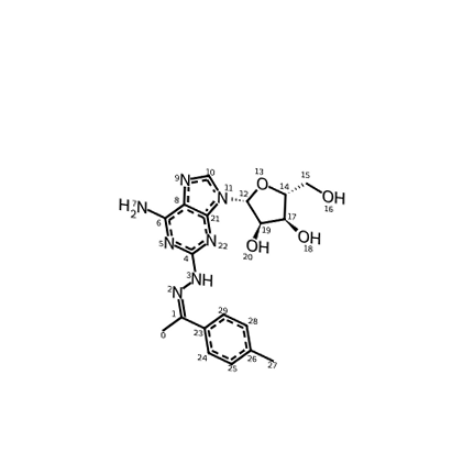 CC(=NNc1nc(N)c2ncn([C@@H]3O[C@H](CO)[C@@H](O)[C@H]3O)c2n1)c1ccc(C)cc1